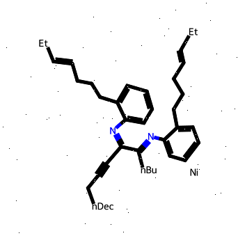 CCC=CCCCc1ccccc1N=C(C#CCCCCCCCCCCC)C(CCCC)=Nc1ccccc1CCCC=CCC.[Ni]